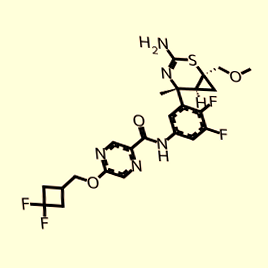 COC[C@]12C[C@H]1[C@](C)(c1cc(NC(=O)c3cnc(OCC4CC(F)(F)C4)cn3)cc(F)c1F)N=C(N)S2